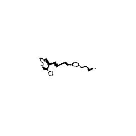 [CH2]CCCOCCCCc1cscc1Cl